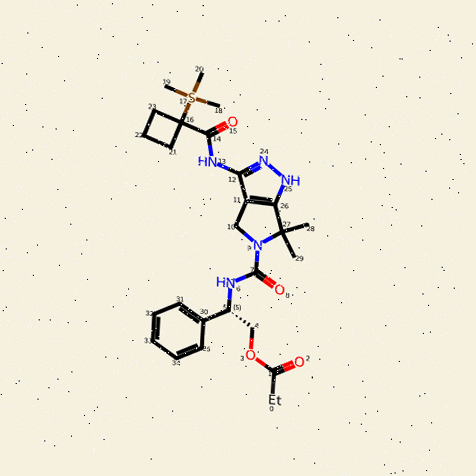 CCC(=O)OC[C@@H](NC(=O)N1Cc2c(NC(=O)C3(S(C)(C)C)CCC3)n[nH]c2C1(C)C)c1ccccc1